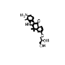 Cc1c(N)ccc2c3c([nH]c12)C(C)(C)c1cc(OC[C@H](O)CO)ccc1C3=O